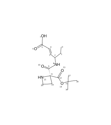 CCC(C=CC(=O)O)NC(=O)[C@]1(C(=O)OC(C)(C)C)CCN1